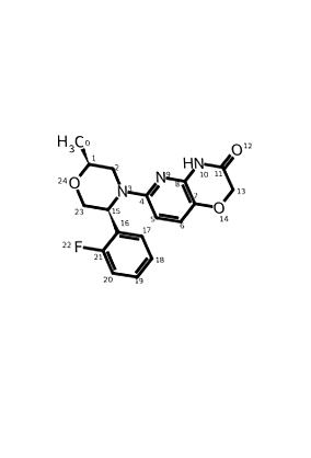 C[C@H]1CN(c2ccc3c(n2)NC(=O)CO3)[C@@H](c2ccccc2F)CO1